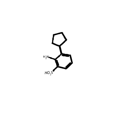 Nc1c(C2CCCC2)cccc1S(=O)(=O)O